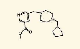 COC(=O)c1cncc(CN2CCN(CC3CCCC3)CC2)c1